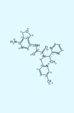 CC(c1ncccn1)N(Cc1ccc(C(F)(F)F)cn1)C(=O)C(=O)Nc1cnc(N)c2c1COC2